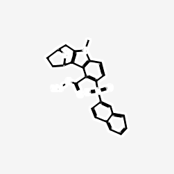 Cn1c2c(c3c(C(=O)OC(C)(C)C)c(S(=O)(=O)c4ccc5ccccc5c4)ccc31)C1CCC(C2)N1